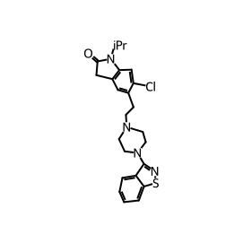 CC(C)N1C(=O)Cc2cc(CCN3CCN(c4nsc5ccccc45)CC3)c(Cl)cc21